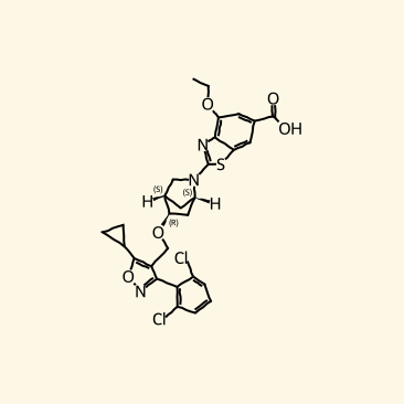 CCOc1cc(C(=O)O)cc2sc(N3C[C@@H]4C[C@H]3C[C@H]4OCc3c(-c4c(Cl)cccc4Cl)noc3C3CC3)nc12